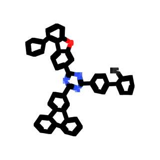 N#Cc1ccccc1-c1ccc(-c2nc(-c3ccc4c(c3)oc3cccc(-c5ccccc5)c34)nc(-c3ccc4c5ccccc5c5ccccc5c4c3)n2)cc1